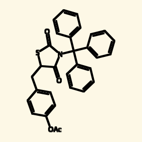 CC(=O)Oc1ccc(CC2SC(=O)N(C(c3ccccc3)(c3ccccc3)c3ccccc3)C2=O)cc1